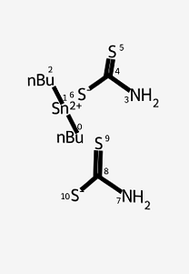 CCC[CH2][Sn+2][CH2]CCC.NC(=S)[S-].NC(=S)[S-]